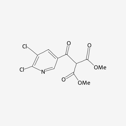 COC(=O)C(C(=O)OC)C(=O)c1cnc(Cl)c(Cl)c1